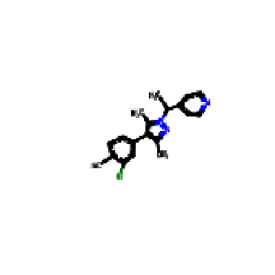 Cc1nn(C(C)c2ccncc2)c(C)c1-c1ccc(C#N)c(Cl)c1